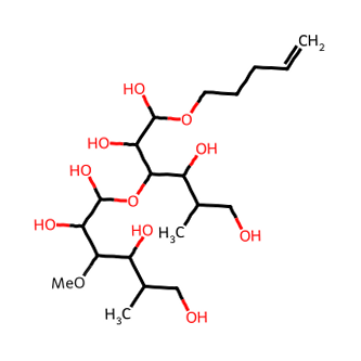 C=CCCCOC(O)C(O)C(OC(O)C(O)C(OC)C(O)C(C)CO)C(O)C(C)CO